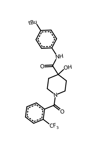 CC(C)(C)c1ccc(NC(=O)C2(O)CCN(C(=O)c3ccccc3C(F)(F)F)CC2)cc1